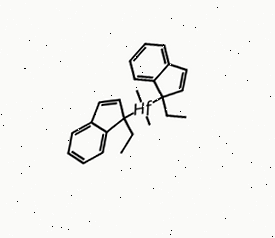 CC[C]1([Hf]([CH3])([CH3])[C]2(CC)C=Cc3ccccc32)C=Cc2ccccc21